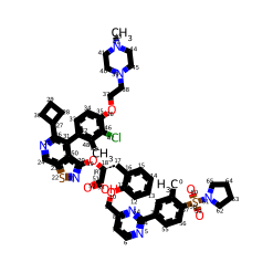 Cc1cc(-c2nccc(COc3ccccc3C[C@@H](Oc3nsc4cnc(C5CCC5)c(-c5ccc(OCCN6CCN(C)CC6)c(Cl)c5C)c34)C(=O)O)n2)ccc1S(=O)(=O)N1CCCC1